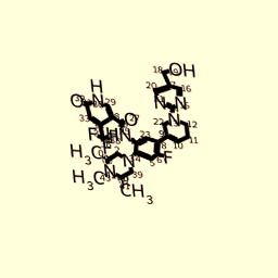 C[C@@H]1CN(c2cc(F)c(C3=CCCN(c4ncc(CO)cn4)C3)cc2NC(=O)c2c[nH]c(=O)cc2C(F)(F)F)C[C@H](C)N1C